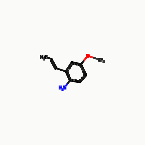 C/C=C/c1cc(OC(F)(F)F)ccc1N